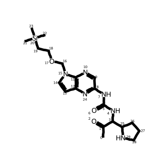 CC(=O)C(NC(=O)Nc1cnc2c(ccn2COCC[Si](C)(C)C)n1)C1CCCN1